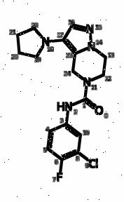 O=C(Nc1ccc(F)c(Cl)c1)N1CCn2ncc(N3CCCC3)c2C1